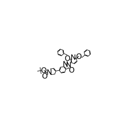 Cn1c2cc(C3=CCN(C(=O)OC(C)(C)C)CC3)ccc2c(=O)n1-c1ccc(OCc2ccccc2)nc1OCc1ccccc1